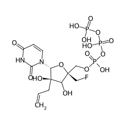 C=CC[C@@]1(O)C(O)[C@@](CF)(COP(=O)(O)OP(=O)(O)OP(=O)(O)O)O[C@H]1n1ccc(=O)[nH]c1=O